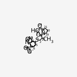 CC(CSc1ccc([N+](=O)[O-])c2nonc12)C(=O)N1CCC[C@H]1C(=O)O